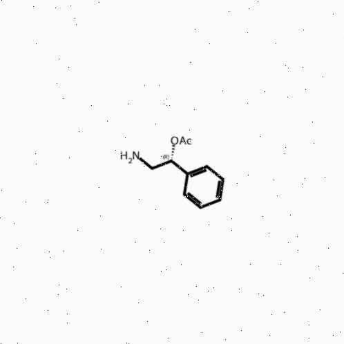 CC(=O)O[C@@H](CN)c1ccccc1